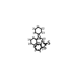 S=c1sc2ccccc2n1CN(C1CCCCC1)C1CCCCC1